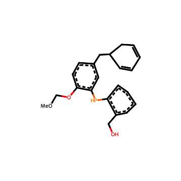 COCOc1ccc(CC2C=CC=CC2)cc1Pc1ccccc1CO